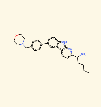 CCCCC(N)c1ccc2c(n1)[nH]c1ccc(-c3ccc(CN4CCOCC4)cc3)cc12